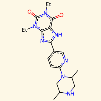 CCn1c(=O)c2[nH]c(-c3ccc(N4CC(C)NCC4C)nc3)nc2n(CC)c1=O